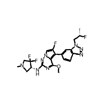 COc1nc(N[C@@H]2CN(C)CC2(F)F)nn2cc(F)c(-c3ccc4nnn(C[C@H](C)F)c4c3)c12